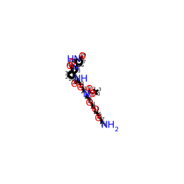 CC(C)(C)OC(=O)N(CCOCCOCCOCCN)CCOCC(=O)Nc1cccc2c1CN(C1CCC(=O)NC1=O)C2=O